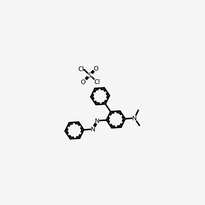 CN(C)c1ccc(N=Nc2ccccc2)c(-c2ccccc2)c1.O=S(=O)(Cl)Cl